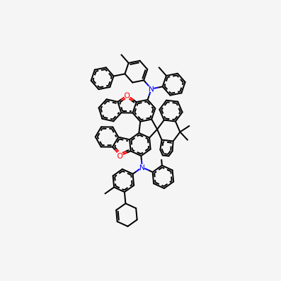 CC1=CC=C(N(c2ccccc2C)c2cc3c(c4c2oc2ccccc24)-c2c(cc(N(c4ccc(C)c(C5C=CCCC5)c4)c4ccccc4C)c4oc5ccccc5c24)C32c3ccccc3C(C)(C)c3ccccc32)CC1c1ccccc1